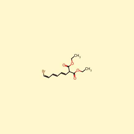 CCOC(=O)C(/C=C/C=C/C=C\Br)C(=O)OCC